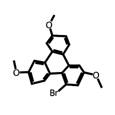 COc1ccc2c(c1)c1cc(OC)ccc1c1c(Br)cc(OC)cc21